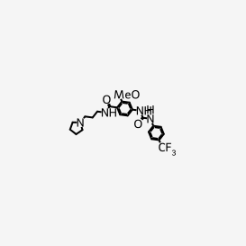 COc1cc(NC(=O)Nc2ccc(C(F)(F)F)cc2)ccc1C(=O)NCCCN1CCCC1